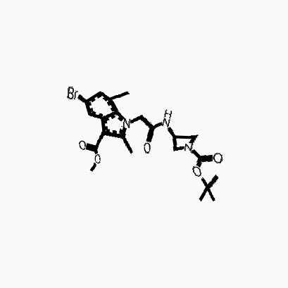 COC(=O)c1c(C)n(CC(=O)NC2CN(C(=O)OC(C)(C)C)C2)c2c(C)cc(Br)cc12